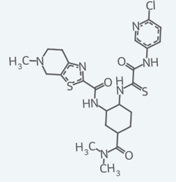 CN1CCc2nc(C(=O)NC3CC(C(=O)N(C)C)CCC3NC(=S)C(=O)Nc3ccc(Cl)nc3)sc2C1